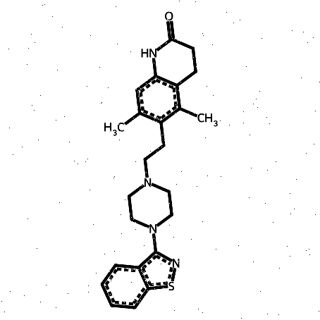 Cc1cc2c(c(C)c1CCN1CCN(c3nsc4ccccc34)CC1)CCC(=O)N2